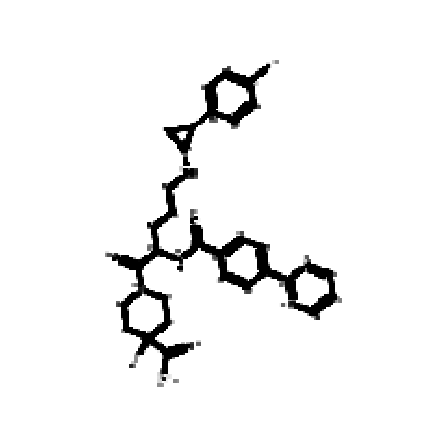 NC(=O)C1(F)CCN(C(=O)C(CCCN[C@@H]2C[C@H]2c2ccc(F)cc2)NC(=O)c2ccc(-c3ncccn3)cc2)CC1